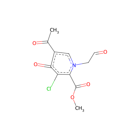 COC(=O)c1c(Cl)c(=O)c(C(C)=O)cn1CC=O